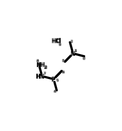 CN(C)C.CP(C)NN.Cl